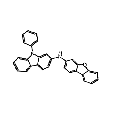 c1ccc(-n2c3ccccc3c3ccc(Nc4ccc5c(c4)oc4ccccc45)cc32)cc1